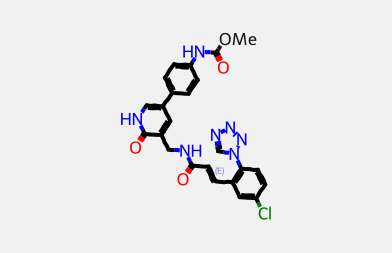 COC(=O)Nc1ccc(-c2c[nH]c(=O)c(CNC(=O)/C=C/c3cc(Cl)ccc3-n3cnnn3)c2)cc1